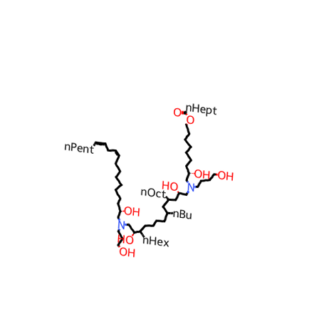 CCCCC/C=C\C/C=C\CCCCCCC[C@H](O)CN(CCCO)C[C@H](O)C(CCCCCC)CCCCC(CCCC)CC(CCCCCCCC)C[C@@H](O)CN(CCCCO)C[C@@H](O)CCCCCCCOC(=O)CCCCCCC